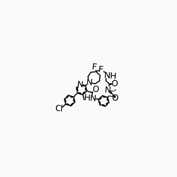 CNCC(=O)N=[S@](C)(=O)c1cccc(NC(=O)c2c(N3CCCC(F)(F)CC3)ncc(-c3ccc(Cl)cc3)c2C)c1